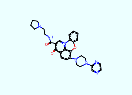 O=C(NCCN1CCCC1)c1cn2c3c(c(N4CCN(c5cnccn5)CC4)ccc3c1=O)Oc1ccccc1-2